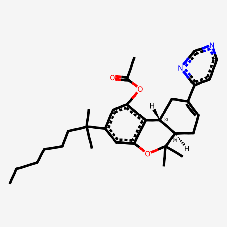 CCCCCCC(C)(C)c1cc(OC(C)=O)c2c(c1)OC(C)(C)[C@@H]1CC=C(c3ccncn3)C[C@@H]21